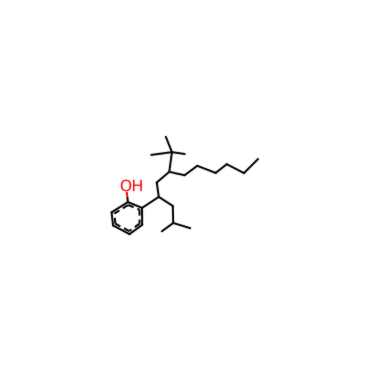 CCCCCCC(CC(CC(C)C)c1ccccc1O)C(C)(C)C